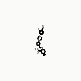 N#Cc1ccc(N2CCN(C3C=C(c4nc5c(c(=O)[nH]4)CC4(CC5)CC4)CC3)CC2)cc1F